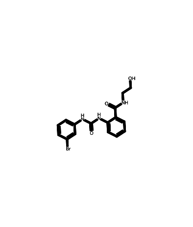 O=C(Nc1cccc(Br)c1)Nc1ccccc1C(=O)NCCO